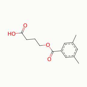 Cc1cc(C)cc(C(=O)OCCCC(=O)O)c1